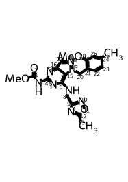 COC(=O)Nc1nc(NCc2noc(C)n2)c2c(cnn2Cc2ccc(C)cc2OC)n1